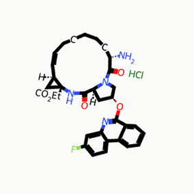 CCOC(=O)[C@@]12C[C@H]1/C=C\CCCCC[C@H](N)C(=O)N1C[C@H](Oc3nc4cc(F)ccc4c4ccccc34)C[C@H]1C(=O)N2.Cl